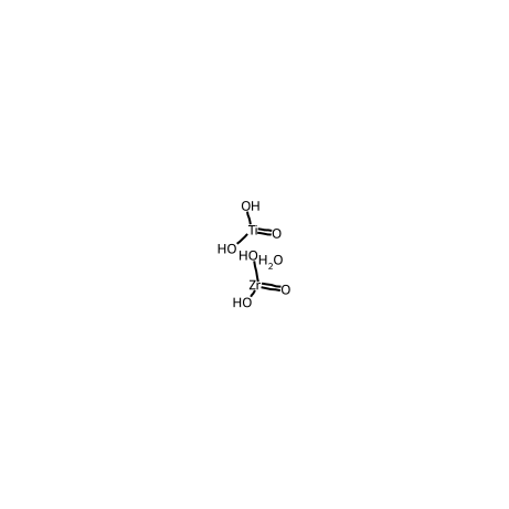 O.[O]=[Ti]([OH])[OH].[O]=[Zr]([OH])[OH]